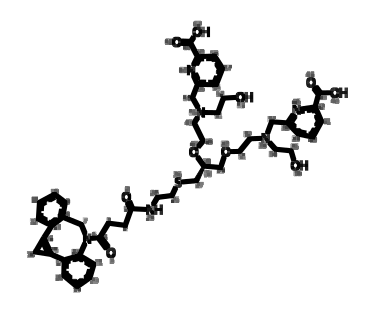 O=C(CCC(=O)N1Cc2ccccc2C2=C(C2)c2ccccc21)NCCSC[C@H](COCCN(CCO)Cc1cccc(C(=O)O)n1)OCCN(CCO)Cc1cccc(C(=O)O)n1